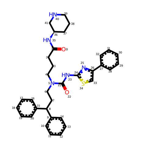 O=C(CCCN(CCC(c1ccccc1)c1ccccc1)C(=O)Nc1nc(-c2ccccc2)cs1)N[C@@H]1CCCNC1